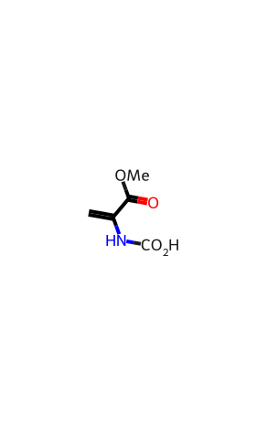 C=C(NC(=O)O)C(=O)OC